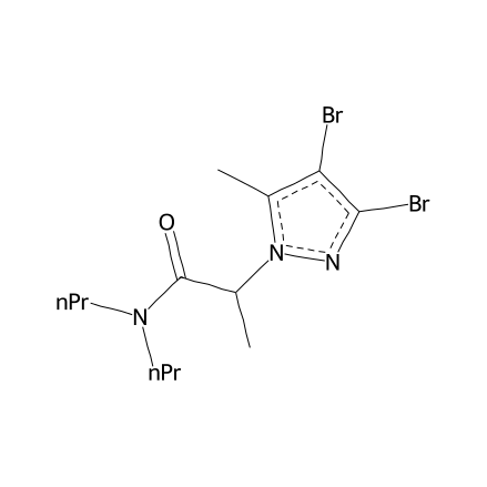 CCCN(CCC)C(=O)C(C)n1nc(Br)c(Br)c1C